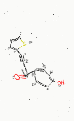 O=C(C#Cc1cccs1)c1ccc(O)cc1